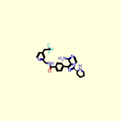 Nc1nccn2c([C@@H]3CCCCN3)nc(-c3ccc(C(=O)NCc4cc(CC(F)(F)F)ccn4)cc3)c12